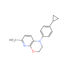 O=C(O)c1ccc2c(n1)OCCN2c1ccc(C2CC2)cc1